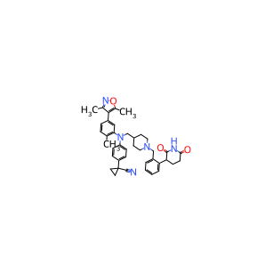 Cc1ccc(-c2c(C)noc2C)cc1N(CC1CCN(Cc2ccccc2C2CCC(=O)NC2=O)CC1)c1ccc(C2(C#N)CC2)cc1